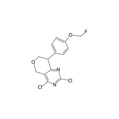 FCOc1ccc(C2COCc3c(Cl)nc(Cl)nc32)cc1